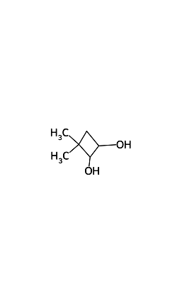 CC1(C)CC(O)C1O